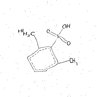 Cc1cccc(C)c1S(=O)(=O)O.I